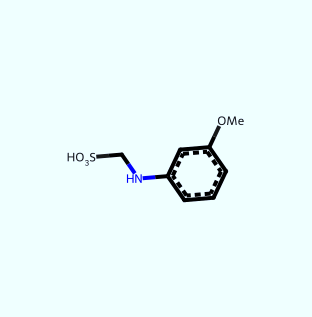 COc1cccc(NCS(=O)(=O)O)c1